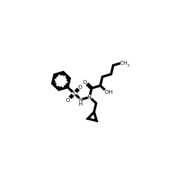 CCCCC(O)C(=O)N(CC1CC1)NS(=O)(=O)c1ccccc1